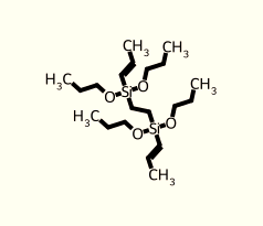 CC=C[Si](CC[Si](C=CC)(OCCC)OCCC)(OCCC)OCCC